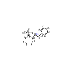 CCC(C)(C)N1CCCCCC1/C=C/c1ccccc1